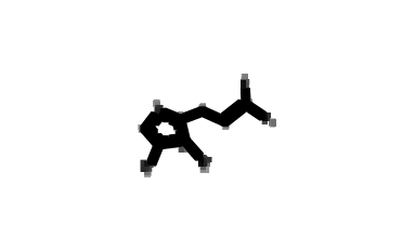 FC(F)=CCc1scc(Br)c1Br